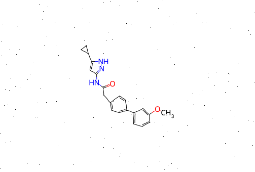 COc1cccc(-c2ccc(CC(=O)Nc3cc(C4CC4)[nH]n3)cc2)c1